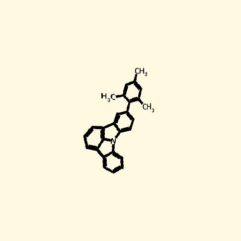 Cc1cc(C)c(-c2ccc3c(c2)c2cccc4c5ccccc5n3c42)c(C)c1